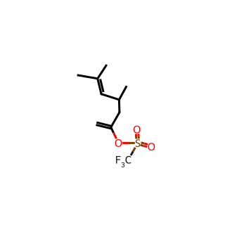 C=C(CC(C)C=C(C)C)OS(=O)(=O)C(F)(F)F